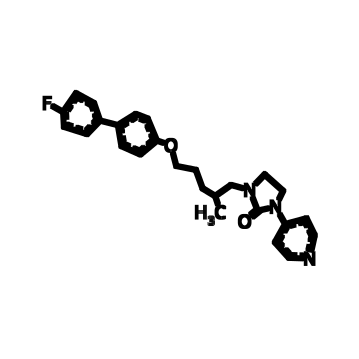 CC(CCCOc1ccc(-c2ccc(F)cc2)cc1)CN1CCN(c2ccncc2)C1=O